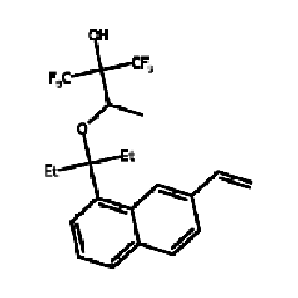 C=Cc1ccc2cccc(C(CC)(CC)OC(C)C(O)(C(F)(F)F)C(F)(F)F)c2c1